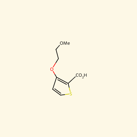 COCCOc1ccsc1C(=O)O